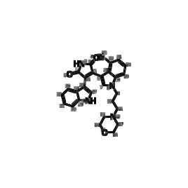 O=C1NC(=O)C(c2cn(CCCN3CCOCC3)c3cccc(Br)c23)=C1c1c[nH]c2ccccc12